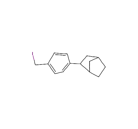 ICc1ccc(C2CC3CCC2C3)cc1